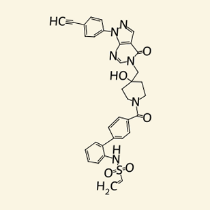 C#Cc1ccc(-n2ncc3c(=O)n(CC4(O)CCN(C(=O)c5ccc(-c6ccccc6NS(=O)(=O)C=C)cc5)CC4)cnc32)cc1